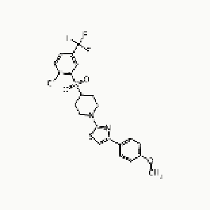 COc1ccc(-c2csc(N3CCC(S(=O)(=O)c4cc(C(F)(F)F)ccc4Cl)CC3)n2)cc1